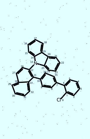 Clc1ccccc1-c1ccc(-c2c(-n3c4ccccc4c4ccccc43)ccc3ccccc23)cc1